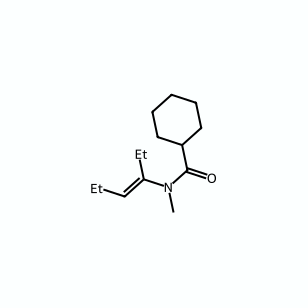 CC/C=C(\CC)N(C)C(=O)C1CCCCC1